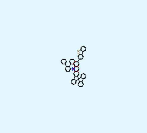 c1ccc(-c2ccccc2-c2c(-c3ccccc3)cccc2N(c2ccc(-c3ccc4c(c3)sc3ccccc34)cc2)c2ccc3c(c2)-c2ccccc2C32c3ccccc3-c3ccccc32)cc1